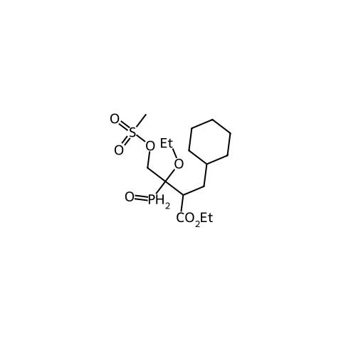 CCOC(=O)C(CC1CCCCC1)C(COS(C)(=O)=O)(OCC)[PH2]=O